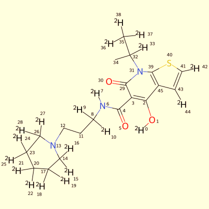 [2H]Oc1c(C(=O)N([2H])C([2H])([2H])CCN2C([2H])([2H])C([2H])([2H])C([2H])([2H])C([2H])([2H])C2([2H])[2H])c(=O)n(C([2H])(C)C([2H])([2H])[2H])c2sc([2H])c([2H])c12